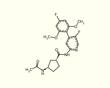 COc1cc(F)cc(OC)c1-c1cc(NC(=O)[C@H]2CC[C@@H](NC(C)=O)C2)ncc1F